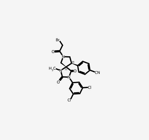 CN1C(=O)N(c2cc(Cl)cc(Cl)c2)C(=O)[C@]12CN(C(=O)CBr)C[C@H]2c1ccc(C#N)cc1